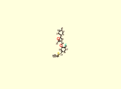 Cc1ccc(-c2cc(COc3cc(CSC(C)(C)C)ccc3F)c(C)o2)cc1